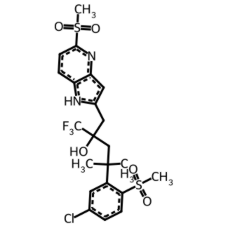 CC(C)(CC(O)(Cc1cc2nc(S(C)(=O)=O)ccc2[nH]1)C(F)(F)F)c1cc(Cl)ccc1S(C)(=O)=O